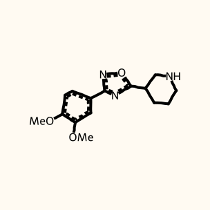 COc1ccc(-c2noc(C3CCCNC3)n2)cc1OC